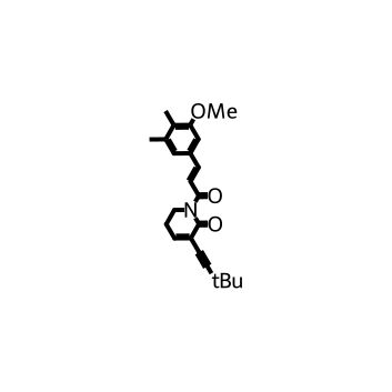 COc1cc(/C=C/C(=O)N2CCC=C(C#CC(C)(C)C)C2=O)cc(C)c1C